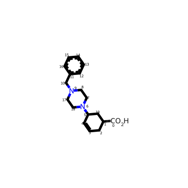 O=C(O)C1CC=CC(N2CCN(Cc3ccccc3)CC2)C1